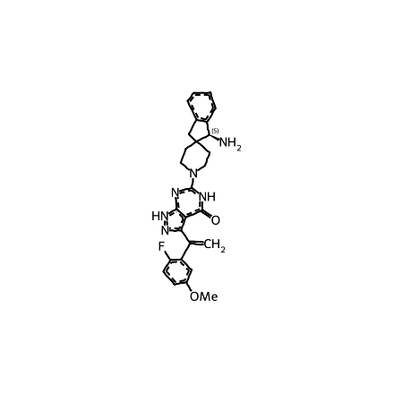 C=C(c1cc(OC)ccc1F)c1n[nH]c2nc(N3CCC4(CC3)Cc3ccccc3[C@H]4N)[nH]c(=O)c12